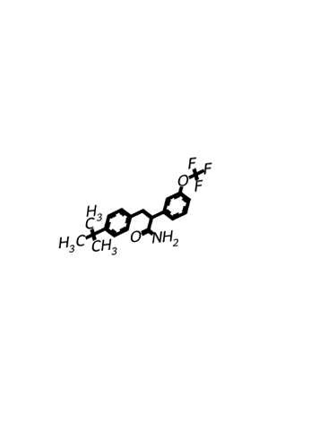 CC(C)(C)c1ccc(CC(C(N)=O)c2cccc(OC(F)(F)F)c2)cc1